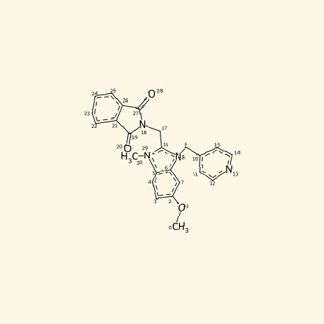 COc1ccc2c(c1)n(Cc1ccncc1)c(CN1C(=O)c3ccccc3C1=O)[n+]2C